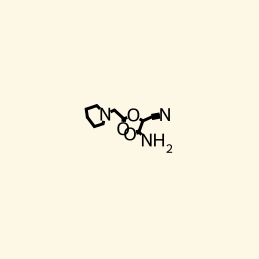 N#CC(OC(=O)CN1CCCCC1)C(N)=O